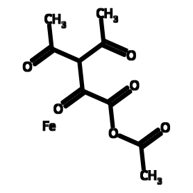 CC(=O)OC(=O)C(=O)C(C(C)=O)C(C)=O.[Fe]